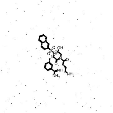 N=C(N)c1cccc(C[C@H](NS(=O)(=O)c2ccc3ccccc3c2)C(=O)N(CC(=O)O)C(=O)CCCN)c1